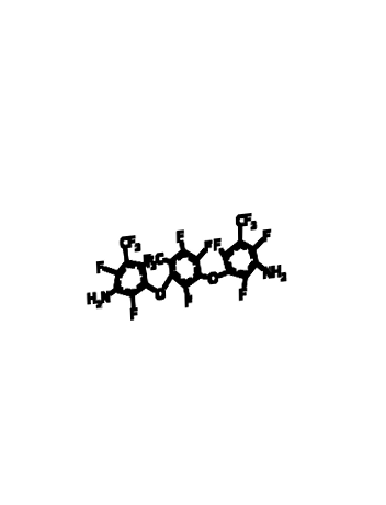 Nc1c(F)c(Oc2c(F)c(F)c(C(F)(F)F)c(Oc3c(F)c(N)c(F)c(C(F)(F)F)c3F)c2F)c(F)c(C(F)(F)F)c1F